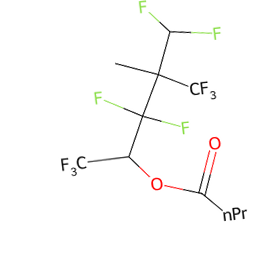 CCCC(=O)OC(C(F)(F)F)C(F)(F)C(C)(C(F)F)C(F)(F)F